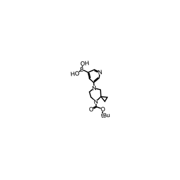 CC(C)(C)OC(=O)N1CCN(c2cncc(B(O)O)c2)CC12CC2